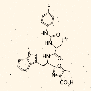 Cc1oc([C@@H](Cc2cn(C)c3ccccc23)NC(=O)C(CC(C)C)NC(=O)Nc2ccc(F)cc2)nc1C(=O)O